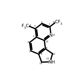 FC(F)(F)c1cc(C(F)(F)F)c2ccc3c(c2n1)CNC3